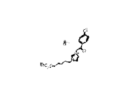 CCOC(=O)CCCCCn1cc[n+](CC(=O)c2ccc(Cl)cc2)c1.[Br-]